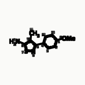 COc1ccc(-c2nsc(N)c2C)cc1